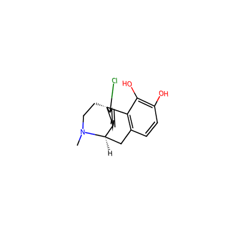 CN1CC[C@@]23C(=CC=CC2Cl)[C@H]1Cc1ccc(O)c(O)c13